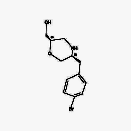 OC[C@H]1CN[C@@H](Cc2ccc(Br)cc2)CO1